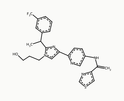 C=C(Nc1ccc(-c2cn(CCCO)c(C(C)c3cccc(C(F)(F)F)c3)n2)nc1)c1cscn1